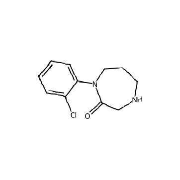 O=C1CNCCCN1c1ccccc1Cl